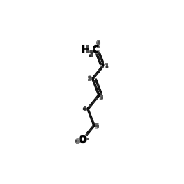 C=CC=CCC[O]